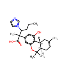 CCCC(n1ccnc1)C(C)(C(=O)O)c1cc(O)c2c(c1)OC(C)(C)[C@@H]1CC=C(C)C[C@@H]21